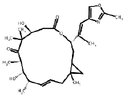 C/C(=C\c1coc(C)n1)[C@@H]1CC2CC2(C)C/C=C/[C@H](C)[C@H](O)[C@@H](C)C(=O)C(C)(C)[C@@H](O)CC(=O)O1